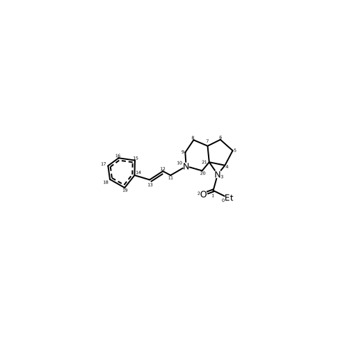 CCC(=O)N1C2CCC3CCN(C/C=C/c4ccccc4)CC321